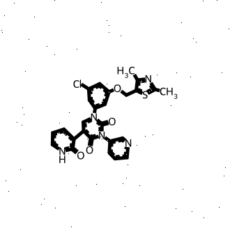 Cc1nc(C)c(COc2cc(Cl)cc(-n3cc(-c4ccc[nH]c4=O)c(=O)n(-c4cccnc4)c3=O)c2)s1